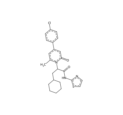 Cc1cc(-c2ccc(Cl)cc2)cc(=O)n1C(CC1CCCCC1)C(=O)Nc1nccs1